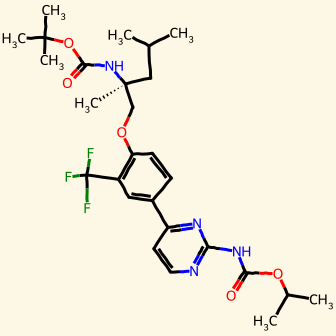 CC(C)C[C@@](C)(COc1ccc(-c2ccnc(NC(=O)OC(C)C)n2)cc1C(F)(F)F)NC(=O)OC(C)(C)C